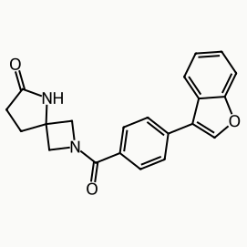 O=C1CCC2(CN(C(=O)c3ccc(-c4coc5ccccc45)cc3)C2)N1